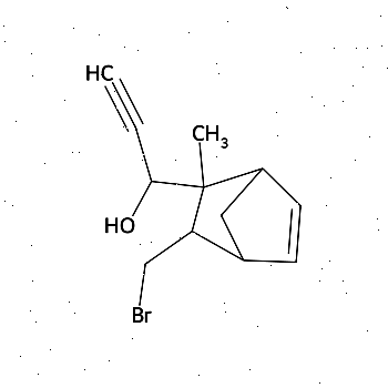 C#CC(O)C1(C)C2C=CC(C2)C1CBr